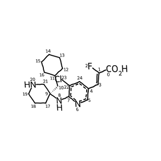 O=C(O)/C(F)=C/c1cnc(N[C@@]2(CC3CCCCC3)CCCNC2)c(Cl)c1